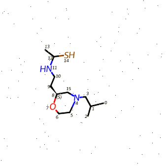 CC(C)CN1CCO[C@@H](CCNC(C)S)C1